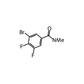 CNC(=O)c1cc(F)c(F)c(Br)c1